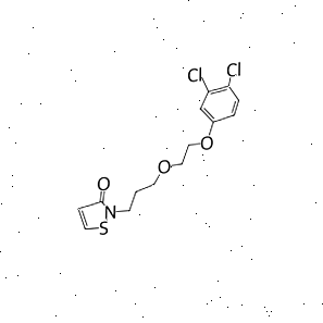 O=c1ccsn1CCCOCCOc1ccc(Cl)c(Cl)c1